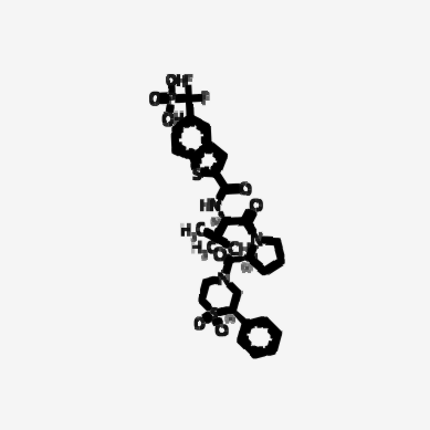 CC(C)(C)[C@H](NC(=O)c1cc2cc(C(F)(F)P(=O)(O)O)ccc2s1)C(=O)N1CCC[C@H]1C(=O)N1CCS(=O)(=O)[C@H](c2ccccc2)C1